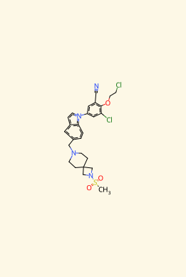 CS(=O)(=O)N1CC2(CCN(Cc3ccc4c(ccn4-c4cc(Cl)c(OCCCl)c(C#N)c4)c3)CC2)C1